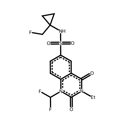 CCn1c(=O)c2cc(S(=O)(=O)NC3(CF)CC3)ccc2n(C(F)F)c1=O